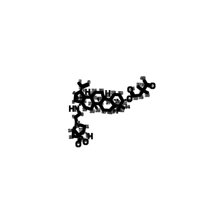 C=C(C)[C@@H]1CC[C@]2(NCCN3C[C@@H]4CC3CS4(=O)=O)CC[C@]3(C)[C@H](CC[C@@H]4[C@@]5(C)CC[C@H](OC(=O)CC(C)(C)C(C)=O)C(C)(C)[C@@H]5CC[C@]43C)[C@@H]12